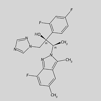 Cc1cc(F)c2nn([C@H](C)[C@](O)(Cn3cncn3)c3ccc(F)cc3F)c(C)c2c1